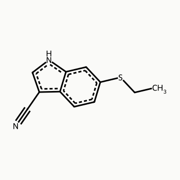 CCSc1ccc2c(C#N)c[nH]c2c1